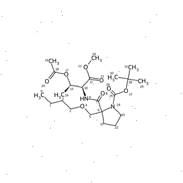 CCCCOCC1(C(=O)N[C@H](C(=O)OC)[C@@H](C)OC(C)=O)CCCN1C(=O)OC(C)(C)C